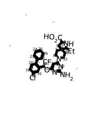 CCC1NC(C(=O)O)CC12CCN(c1cc(O[C@H](c3cc(Cl)ccc3-c3ccccc3)C(F)(F)F)nc(N)n1)CC2